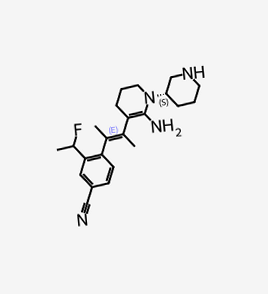 C/C(C1=C(N)N([C@H]2CCCNC2)CCC1)=C(/C)c1ccc(C#N)cc1C(C)F